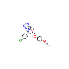 COc1ccc(OCC2CC(Cn3cncn3)(c3ccc(Cl)cc3)N(C)O2)cc1